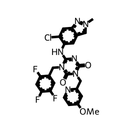 COc1ccnc(Cn2c(=O)nc(Nc3cc4cn(C)nc4cc3Cl)n(Cc3cc(F)c(F)cc3F)c2=O)c1